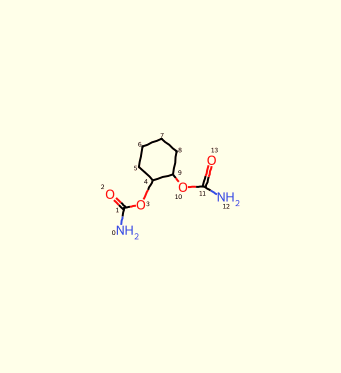 NC(=O)OC1CCCCC1OC(N)=O